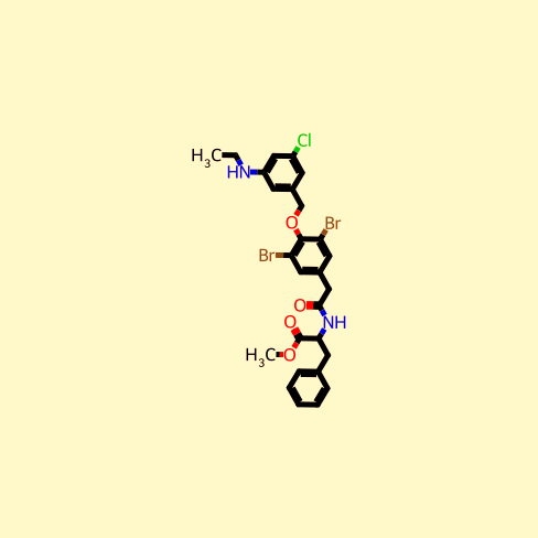 CCNc1cc(Cl)cc(COc2c(Br)cc(CC(=O)NC(Cc3ccccc3)C(=O)OC)cc2Br)c1